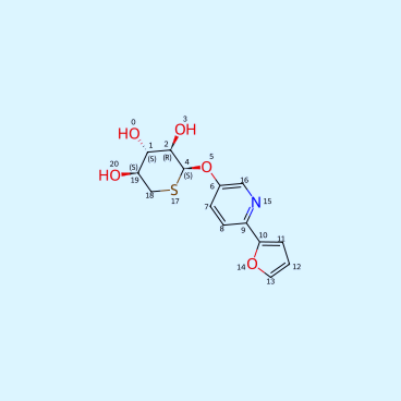 O[C@@H]1[C@@H](O)[C@@H](Oc2ccc(-c3ccco3)nc2)SC[C@H]1O